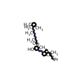 C=C1/C(=C\C=C2/CCCC3(C)C2CC[C@@H]3[C@H](C)CCCC(C)C)C[C@@H](O)CC1OC(=O)/C=C(C)/C=C/C=C(C)/C=C/C1=C(C)CCCC1(C)C